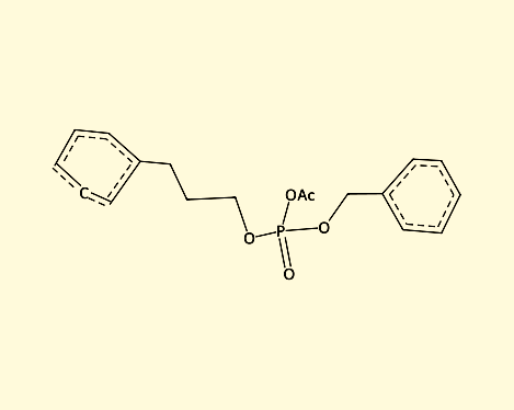 CC(=O)OP(=O)(OCCCc1ccccc1)OCc1ccccc1